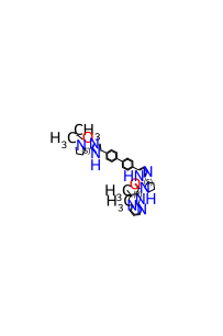 CC(C)C(=O)N1CCC[C@H]1c1ncc(-c2ccc(-c3ccc(-c4cnc([C@@H]5CCCN5C(=O)[C@H](Nc5ncccn5)C(C)C)[nH]4)cc3)cc2)[nH]1